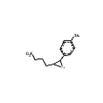 CC(C)(C)c1ccc(C2OC2CCCC(=O)O)cc1